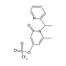 Cc1cc(OS(=O)(=O)C(F)(F)F)cc(=O)n1C(C)c1ccccn1